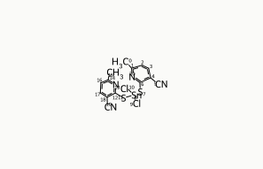 Cc1ccc(C#N)c([S][Sn]([Cl])([Cl])[S]c2nc(C)ccc2C#N)n1